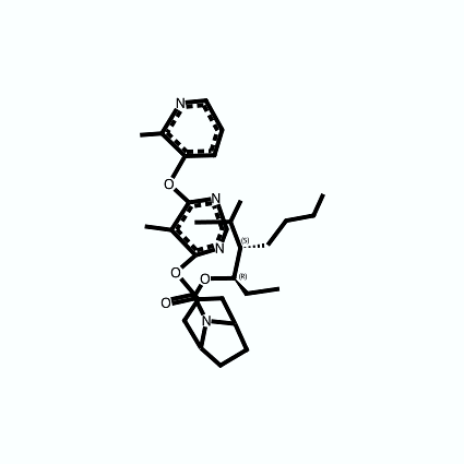 CCCC[C@@H](C(C)C)[C@@H](CC)OC(=O)N1C2CCC1CC(Oc1ncnc(Oc3cccnc3C)c1C)C2